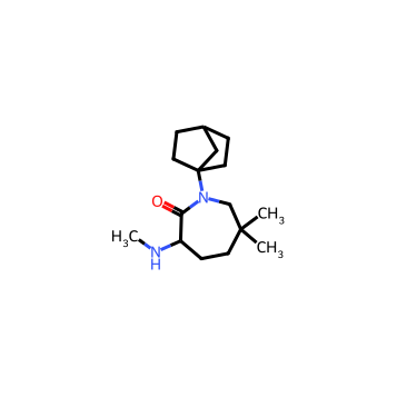 CNC1CCC(C)(C)CN(C23CCC(CC2)C3)C1=O